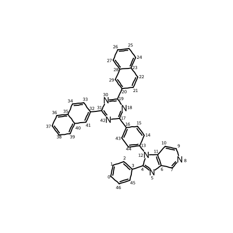 c1ccc(-c2nc3cnccc3n2-c2ccc(-c3nc(-c4ccc5ccccc5c4)nc(-c4ccc5ccccc5c4)n3)cc2)cc1